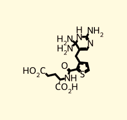 NC1=NC=C(Cc2ccsc2C(=O)N[C@@H](CCC(=O)O)C(=O)O)C(N)(N)N1